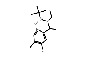 CCN(C(C)c1cc(Cl)c(C)cn1)[S@+]([O-])C(C)(C)C